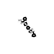 C[C@@H](c1ccccc1)n1ncn(-c2ccc(N3CCN(C(C(=O)O)c4ccccc4)CC3)cc2)c1=O